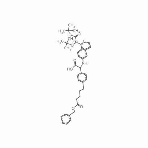 CC(C)(C)OC(=O)N(OC(C)(C)C)c1nccc2cc(NC(C(=O)O)c3ccc(CCCCC(=O)OCc4ccccc4)cc3)ccc12